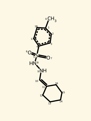 Cc1ccc(S(=O)(=O)NNC=C2CCCCC2)cc1